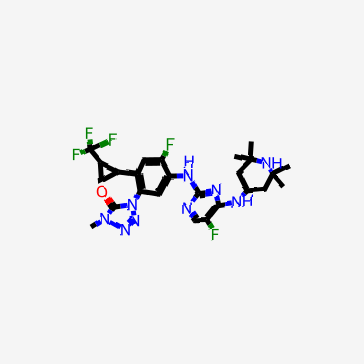 Cn1nnn(-c2cc(Nc3ncc(F)c(NC4CC(C)(C)NC(C)(C)C4)n3)c(F)cc2C2CC2C(F)(F)F)c1=O